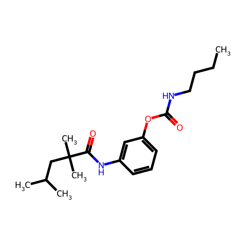 CCCCNC(=O)Oc1cccc(NC(=O)C(C)(C)CC(C)C)c1